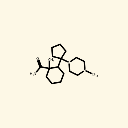 CN1CCN(C2(C3CCCCC3(C)C(N)=O)CCCC2)CC1